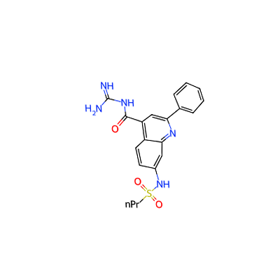 CCCS(=O)(=O)Nc1ccc2c(C(=O)NC(=N)N)cc(-c3ccccc3)nc2c1